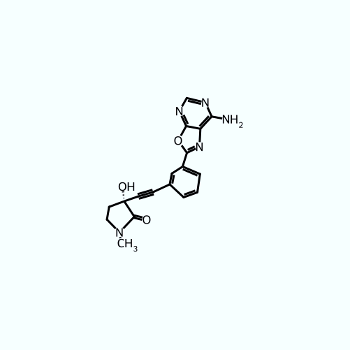 CN1CC[C@@](O)(C#Cc2cccc(-c3nc4c(N)ncnc4o3)c2)C1=O